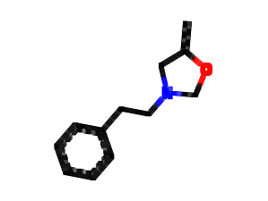 C=C1CN(CCc2ccccc2)CO1